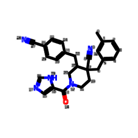 Cc1cccc(CC2(C#N)CCN(C(=O)c3cnc[nH]3)CC2Cc2ccc(C#N)cc2)c1